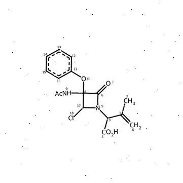 C=C(C)C(C(=O)O)N1C(=O)C(NC(C)=O)(Oc2ccccc2)C1Cl